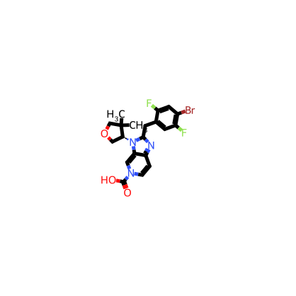 CC1(C)COC[C@H]1N1C2=CN(C(=O)O)C=CC2=NC1Cc1cc(F)c(Br)cc1F